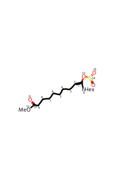 CCCCCC/C(=C\CCCCCCCC(=O)OC)O[SH](=O)=O